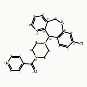 O=C(c1ccncc1)N1CCN(C2c3ccc(Cl)cc3OCc3cccnc32)CC1